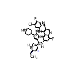 C=C(/C=C\C(Cl)=C/C)[C@H](Nc1cc(F)c2ncc(C#N)c(Nc3ccc(F)c(Cl)c3)c2c1)C1=CN(C2CCNCC2)NN1